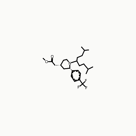 COC(=O)C[C@@H]1CCN(C(CCC(C)C)CCC(C)C)[C@H](c2ccc(C(F)(F)F)cc2)C1